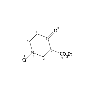 CCOC(=O)C1CN(Cl)CCC1=O